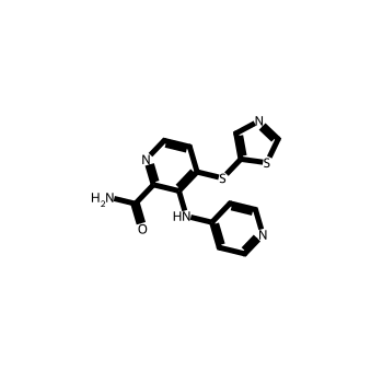 NC(=O)c1nccc(Sc2cncs2)c1Nc1ccncc1